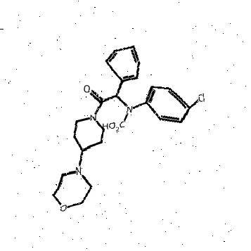 O=C(C(c1ccccc1)N(C(=O)O)c1ccc(Cl)cc1)N1CCC(N2CCOCC2)CC1